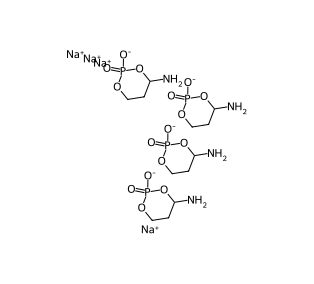 NC1CCOP(=O)([O-])O1.NC1CCOP(=O)([O-])O1.NC1CCOP(=O)([O-])O1.NC1CCOP(=O)([O-])O1.[Na+].[Na+].[Na+].[Na+]